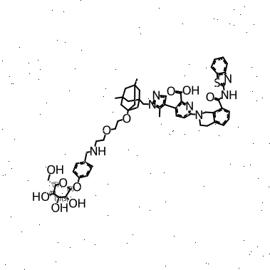 Cc1c(-c2ccc(N3CCc4cccc(C(=O)Nc5nc6ccccc6s5)c4C3)nc2C(=O)O)cnn1CC12CC3(C)CC(C)(C1)CC(OCCOCCNCc1ccc(O[C@H]4O[C@@H](CO)[C@H](O)[C@H](O)[C@@H]4O)cc1)(C3)C2